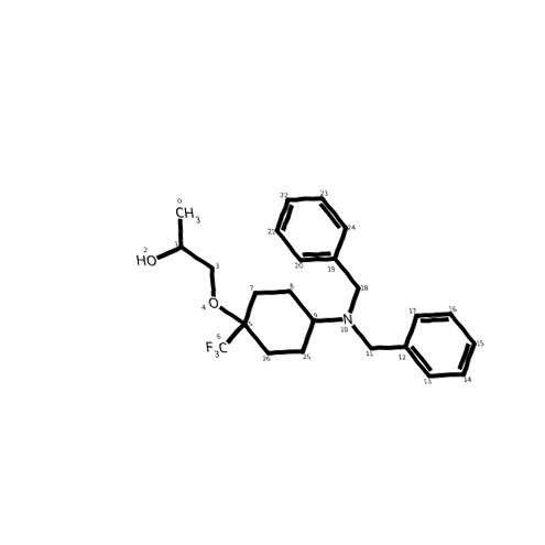 CC(O)COC1(C(F)(F)F)CCC(N(Cc2ccccc2)Cc2ccccc2)CC1